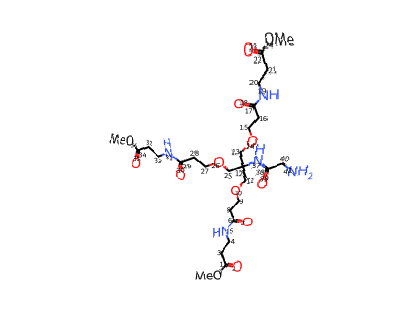 COC(=O)CCNC(=O)CCOCC(COCCC(=O)NCCC(=O)OC)(COCCC(=O)NCCC(=O)OC)NC(=O)CN